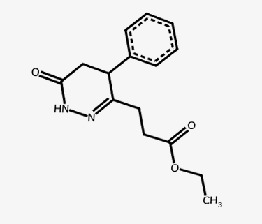 CCOC(=O)CCC1=NNC(=O)CC1c1ccccc1